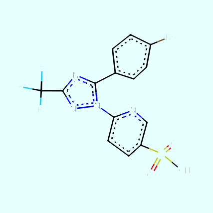 CS(=O)(=O)c1ccc(-n2nc(C(F)(F)F)nc2-c2ccc(Br)cc2)nc1